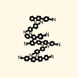 N#Cc1ccc(-c2ccc3c4ccccc4n(-c4cc(-c5ccc(C#N)c(-n6c7ccccc7c7c(-c8cc(C#N)ccc8-c8ccc9c%10ccc(-c%11ccc(C#N)cc%11)cc%10n(-c%10cc(-c%11ccc(C#N)c(-n%12c%13cc(-c%14ccc(C#N)cc%14)ccc%13c%13ccc(-c%14ccc(C#N)cc%14)cc%13%12)c%11)ccc%10C#N)c9c8)cc(-c8ccc(C#N)cc8)cc76)c5)ccc4C#N)c3c2)cc1